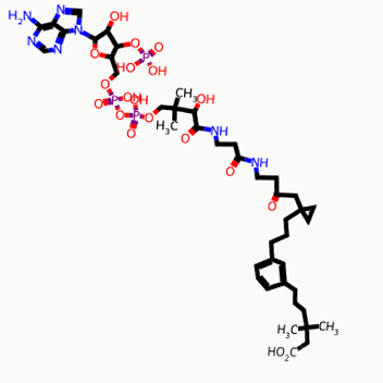 CC(C)(CCCc1cccc(CCCC2(CC(=O)CCNC(=O)CCNC(=O)C(O)C(C)(C)COP(=O)(O)OP(=O)(O)OCC3OC(n4cnc5c(N)ncnc54)C(O)C3OP(=O)(O)O)CC2)c1)CC(=O)O